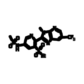 CCS(=O)(=O)c1cc(NS(C)(=O)=O)cnc1-c1nc2cc(C(F)(F)F)cnc2n1C